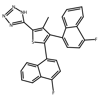 Cc1c(-c2nnn[nH]2)sc(-c2ccc(F)c3ccccc23)c1-c1ccc(F)c2ccccc12